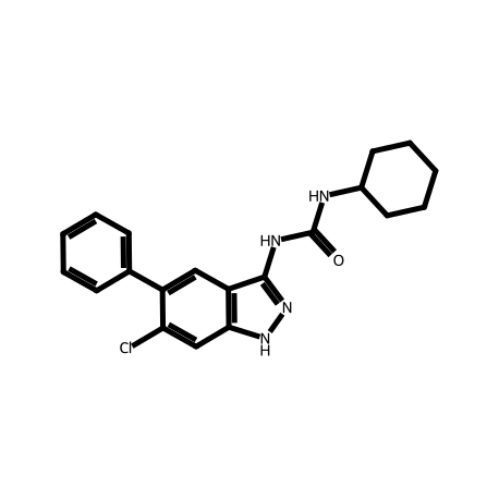 O=C(Nc1n[nH]c2cc(Cl)c(-c3ccccc3)cc12)NC1CCCCC1